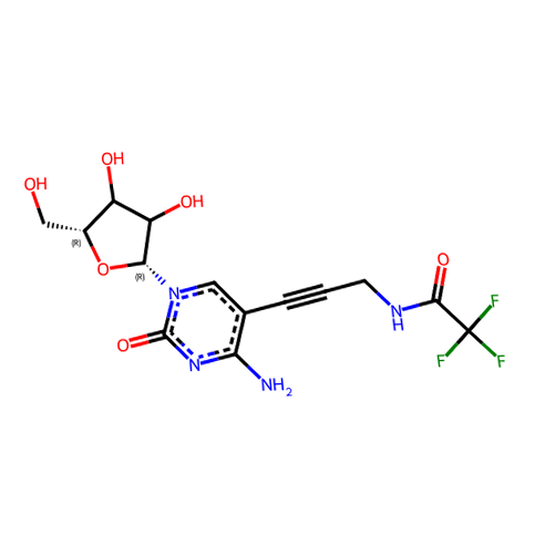 Nc1nc(=O)n([C@@H]2O[C@H](CO)C(O)C2O)cc1C#CCNC(=O)C(F)(F)F